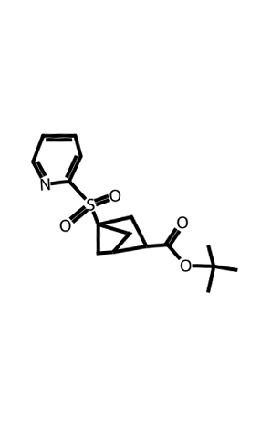 CC(C)(C)OC(=O)C1CC2(S(=O)(=O)c3ccccn3)CC1C2